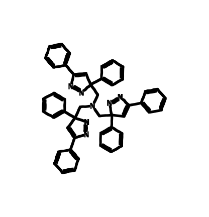 C1=C(c2ccccc2)N=NC1(CN(CC1(c2ccccc2)C=C(c2ccccc2)N=N1)CC1(c2ccccc2)C=C(c2ccccc2)N=N1)c1ccccc1